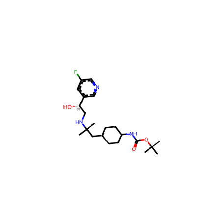 CC(C)(CC1CCC(NC(=O)OC(C)(C)C)CC1)NC[C@H](O)c1cncc(F)c1